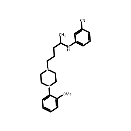 COc1ccccc1N1CCN(CCCC(C)Nc2cccc(C#N)c2)CC1